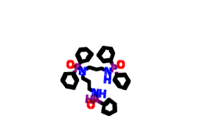 O=[PH](NCCCN(CCCNP(=O)(c1ccccc1)c1ccccc1)P(=O)(c1ccccc1)c1ccccc1)c1ccccc1